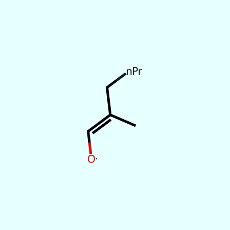 CCCC/C(C)=C/[O]